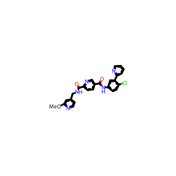 COc1cc(CNC(=O)c2ccc(C(=O)Nc3ccc(Cl)c(-c4ccccn4)c3)cn2)ccn1